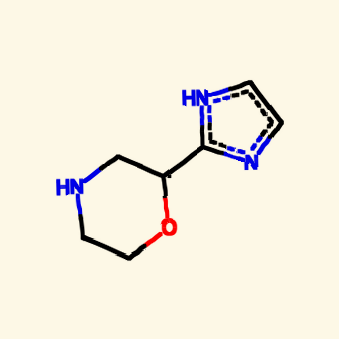 c1c[nH]c([C]2CNCCO2)n1